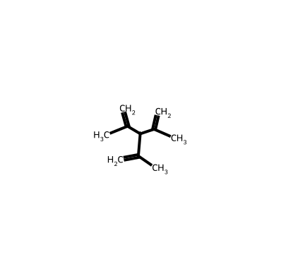 C=C(C)[C](C(=C)C)C(=C)C